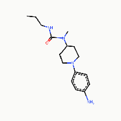 CCCNC(=O)N(C)C1CCN(c2ccc(N)cc2)CC1